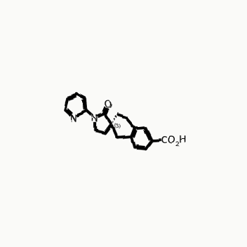 O=C(O)c1ccc2c(c1)CC[C@@]1(CCN(c3ccccn3)C1=O)C2